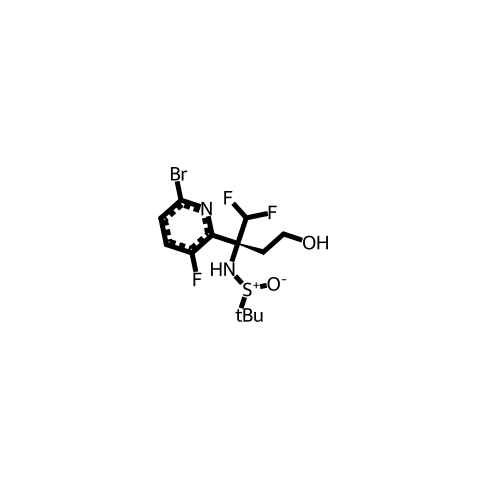 CC(C)(C)[S+]([O-])N[C@](CCO)(c1nc(Br)ccc1F)C(F)F